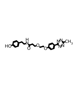 Cc1nnc(-c2ccc(OCCOCCC(=O)NCCc3ccc(O)cc3)cc2)nn1